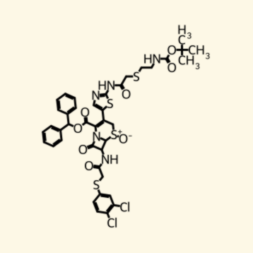 CC(C)(C)OC(=O)NCCSCC(=O)Nc1ncc(C2=C(C(=O)OC(c3ccccc3)c3ccccc3)N3C(=O)C(NC(=O)CSc4ccc(Cl)c(Cl)c4)C3[S+]([O-])C2)s1